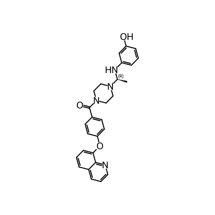 C[C@H](Nc1cccc(O)c1)N1CCN(C(=O)c2ccc(Oc3cccc4cccnc34)cc2)CC1